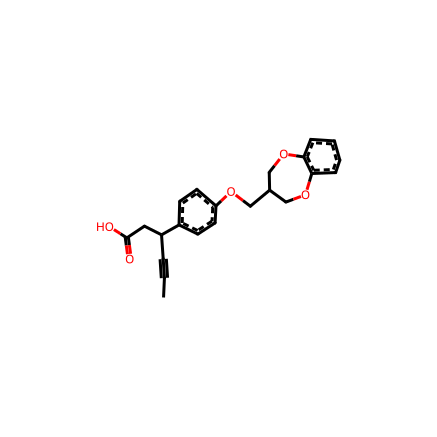 CC#CC(CC(=O)O)c1ccc(OCC2COc3ccccc3OC2)cc1